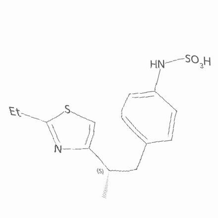 CCc1nc([C@@H](C)Cc2ccc(NS(=O)(=O)O)cc2)cs1